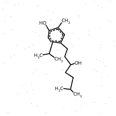 Cc1cc(CCC(O)CCC(C)C)c(C(C)C)cc1O